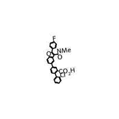 CNC(=O)c1c(-c2ccc(F)cc2)oc2ccc(-c3ccc(-c4ccccc4Cl)c(C(=O)O)c3)cc12